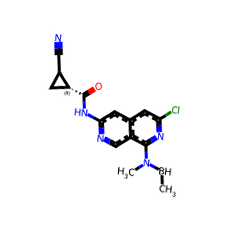 CBN(C)c1nc(Cl)cc2cc(NC(=O)[C@@H]3CC3C#N)ncc12